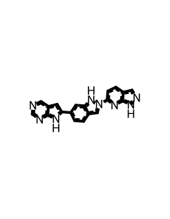 c1ncc2cc(-c3ccc4c[n+](-c5ccc6cn[nH]c6n5)[nH]c4c3)[nH]c2n1